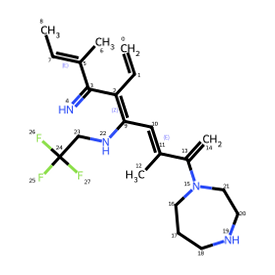 C=C/C(C(=N)/C(C)=C/C)=C(\C=C(/C)C(=C)N1CCCNCC1)NCC(F)(F)F